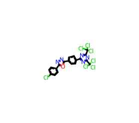 Clc1ccc(-c2nnc(-c3ccc(-c4nc(C(Cl)(Cl)Cl)nc(C(Cl)(Cl)Cl)n4)cc3)o2)cc1